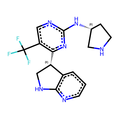 FC(F)(F)c1cnc(N[C@@H]2CCNC2)nc1[C@H]1CNc2ncccc21